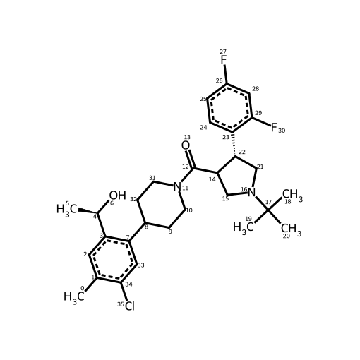 Cc1cc([C@@H](C)O)c(C2CCN(C(=O)C3CN(C(C)(C)C)C[C@H]3c3ccc(F)cc3F)CC2)cc1Cl